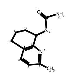 Cc1ccc2c(n1)C(SC(N)=O)CCC2